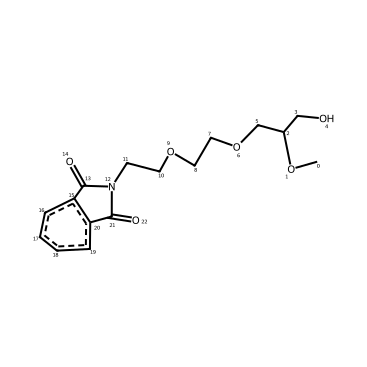 COC(CO)COCCOCCN1C(=O)c2ccccc2C1=O